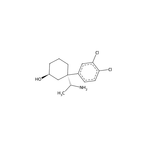 CC(N)[C@@]1(c2ccc(Cl)c(Cl)c2)CCC[C@H](O)C1